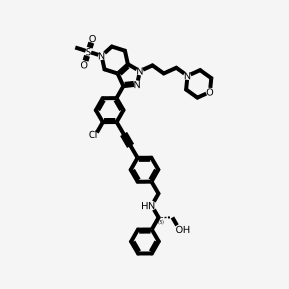 CS(=O)(=O)N1CCc2c(c(-c3ccc(Cl)c(C#Cc4ccc(CN[C@H](CO)c5ccccc5)cc4)c3)nn2CCCN2CCOCC2)C1